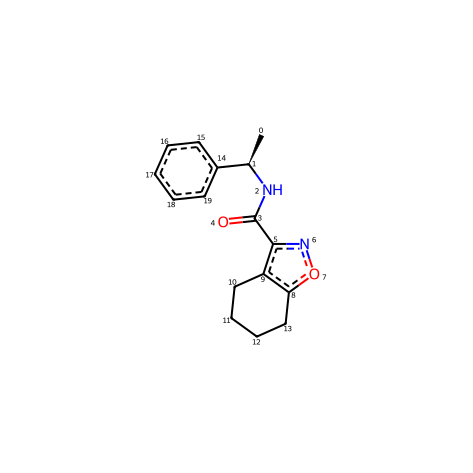 C[C@@H](NC(=O)c1noc2c1CCCC2)c1ccccc1